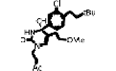 COCCC1=CN(CCC(C)=O)C(=O)N[C@@]1(C)c1ccc(CCC(C)(C)C)c(Cl)c1